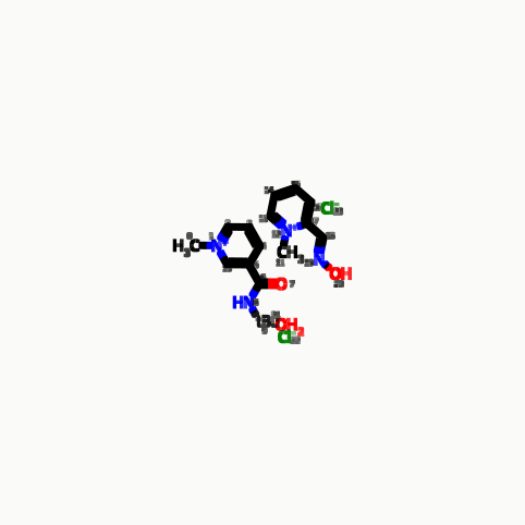 C[n+]1cccc(C(=O)NC(C)(C)C)c1.C[n+]1ccccc1C=NO.O.[Cl-].[Cl-]